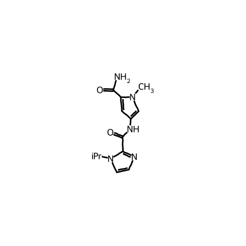 CC(C)n1ccnc1C(=O)Nc1cc(C(N)=O)n(C)c1